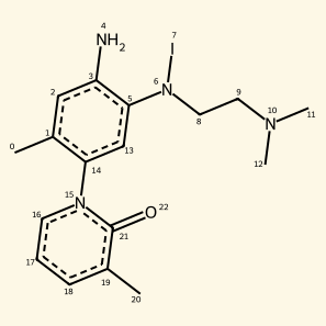 Cc1cc(N)c(N(I)CCN(C)C)cc1-n1cccc(C)c1=O